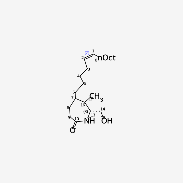 CCCCCCCC/C=C\CCCCC1CCC(=O)N[C@@H](CO)C1C